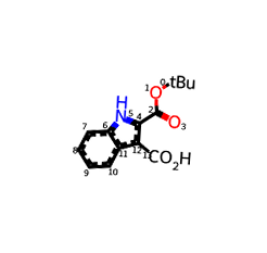 CC(C)(C)OC(=O)c1[nH]c2ccccc2c1C(=O)O